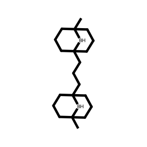 CC12BC(CCCC34BC(C)(CCC3)CCC4)(CCC1)CCC2